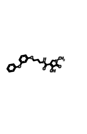 CN1CC(C(=O)NCCCOc2cccc(Oc3ccccc3)c2)=C(O)C1=O